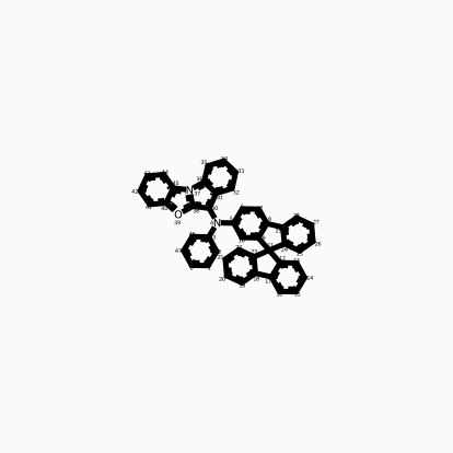 c1ccc(N(c2ccc3c(c2)C2(c4ccccc4-c4ccccc42)c2ccccc2-3)c2c3ccccc3n3c2oc2ccccc23)cc1